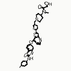 Cc1ccc(Nc2nc3cc(Oc4ccnc5cc(-c6ccc(CN7CCC(N(C)C(=O)CO)CC7)cn6)sc45)ccc3o2)cc1